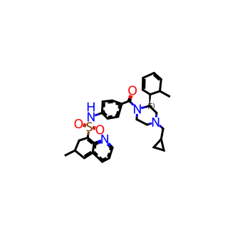 CC1C=c2cccnc2=C(S(=O)(=O)Nc2ccc(C(=O)N3CCN(CC4CC4)C[C@@H]3C3C=CC=CC3C)cc2)C1